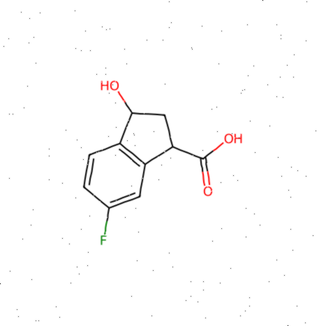 O=C(O)C1CC(O)c2ccc(F)cc21